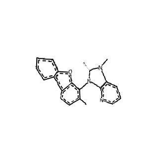 Cc1ccc2c(oc3ccccc32)c1N1c2ncccc2N(C)[C@H]1C